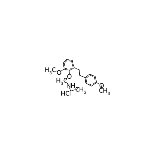 CCN.COc1ccc(CCc2cccc(OC)c2OC)cc1.Cl